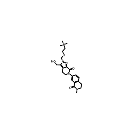 CN1CCc2ccc(N3CCc4c(nn(COCC[Si](C)(C)C)c4CO)C3=O)cc2C1=O